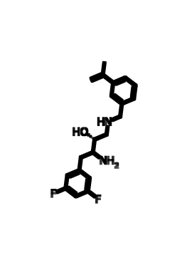 C=C(C)c1cccc(CNC[C@@H](O)C(N)Cc2cc(F)cc(F)c2)c1